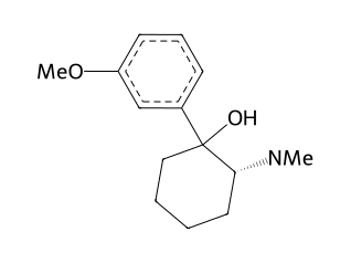 CN[C@@H]1CCCCC1(O)c1cccc(OC)c1